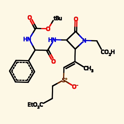 CCOC(=O)CC[S+]([O-])C=C(C)C1C(NC(=O)C(NC(=O)OC(C)(C)C)c2ccccc2)C(=O)N1CC(=O)O